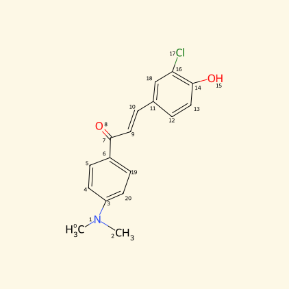 CN(C)c1ccc(C(=O)C=Cc2ccc(O)c(Cl)c2)cc1